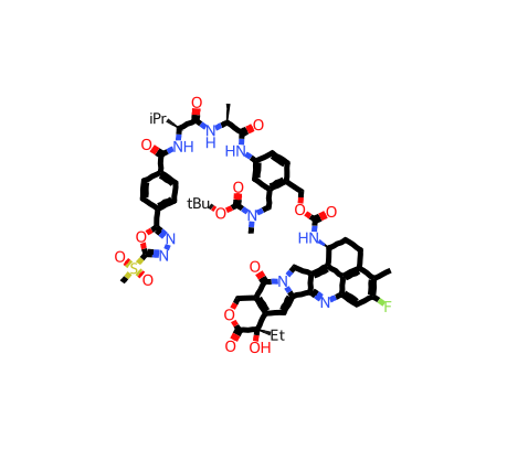 CC[C@@]1(O)C(=O)OCc2c1cc1n(c2=O)Cc2c-1nc1cc(F)c(C)c3c1c2[C@@H](NC(=O)OCc1ccc(NC(=O)[C@H](C)NC(=O)[C@@H](NC(=O)c2ccc(-c4nnc(S(C)(=O)=O)o4)cc2)C(C)C)cc1CN(C)C(=O)OC(C)(C)C)CC3